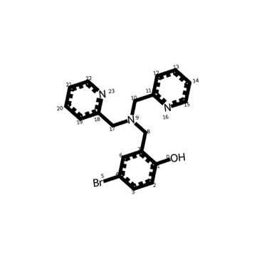 Oc1ccc(Br)cc1CN(Cc1ccccn1)Cc1ccccn1